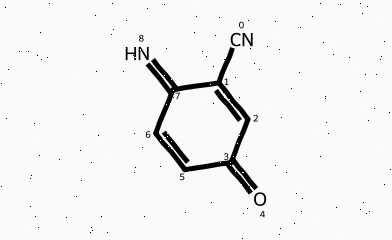 N#CC1=CC(=O)C=CC1=N